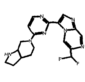 FC(F)c1cn2c(-c3nccc(N4CCC5CCNC5C4)n3)cnc2cn1